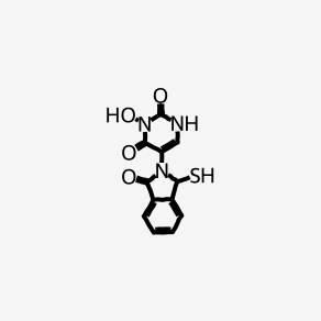 O=C1c2ccccc2C(S)N1c1c[nH]c(=O)n(O)c1=O